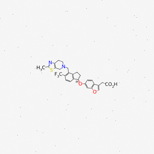 Cc1nc2c(s1)CN(Cc1c(C(F)(F)F)ccc3c1CC[C@H]3Oc1ccc3c(CC(=O)O)coc3c1)CC2